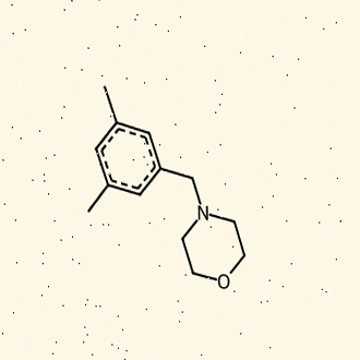 Cc1cc(C)cc(CN2CCOCC2)c1